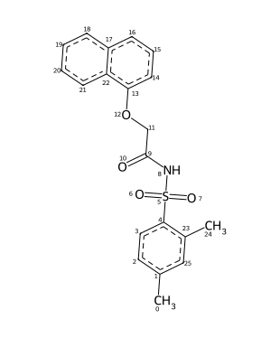 Cc1ccc(S(=O)(=O)NC(=O)COc2cccc3ccccc23)c(C)c1